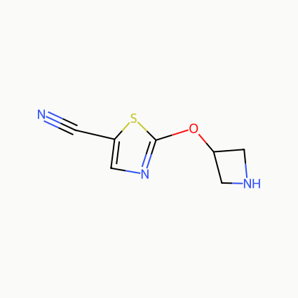 N#Cc1cnc(OC2CNC2)s1